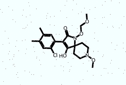 COCON1C(=O)C(c2cc(C)c(C)cc2Cl)=C(O)C12CCN(OC)CC2